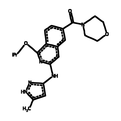 Cc1cc(Nc2cc3cc(C(=O)N4CCOCC4)ccc3c(OC(C)C)n2)n[nH]1